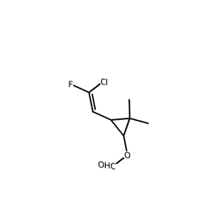 CC1(C)C(C=C(F)Cl)C1OC=O